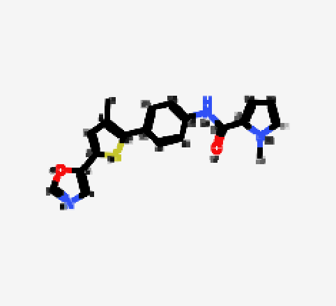 Cc1cc(-c2cnco2)sc1-c1ccc(NC(=O)c2cccn2C)cc1